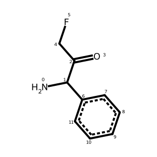 NC(C(=O)CF)c1ccccc1